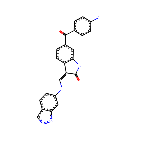 Nc1ccc(C(=O)c2ccc3c(c2)NC(=O)C3=CNc2ccc3cn[nH]c3c2)cc1